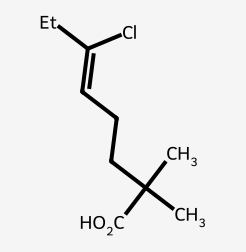 CCC(Cl)=CCCC(C)(C)C(=O)O